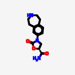 NC(=O)[C@H]1CN(c2ccc3c(c2)CCNCC3)C(=O)O1